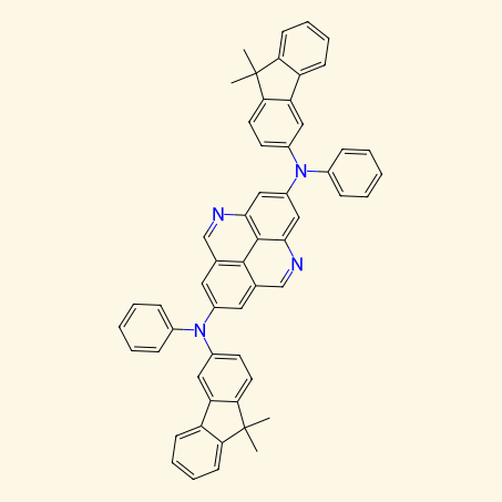 CC1(C)c2ccccc2-c2cc(N(c3ccccc3)c3cc4cnc5cc(N(c6ccccc6)c6ccc7c(c6)-c6ccccc6C7(C)C)cc6ncc(c3)c4c56)ccc21